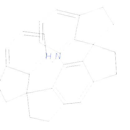 Nc1c2c(cc3c1C1(CCc4ccccc41)CC3)CCC21CCc2ccccc21